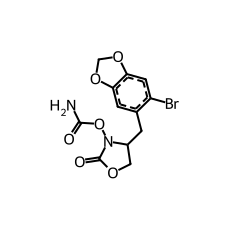 NC(=O)ON1C(=O)OCC1Cc1cc2c(cc1Br)OCO2